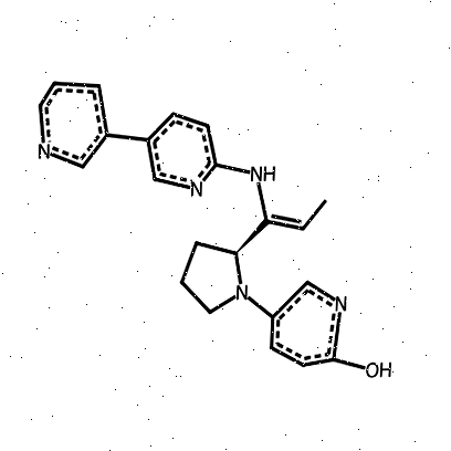 CC=C(Nc1ccc(-c2cccnc2)cn1)[C@@H]1CCCN1c1ccc(O)nc1